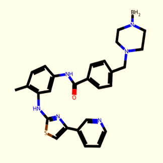 BN1CCN(Cc2ccc(C(=O)Nc3ccc(C)c(Nc4nc(-c5cccnc5)cs4)c3)cc2)CC1